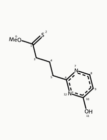 COC(=S)CCCc1nccc(O)n1